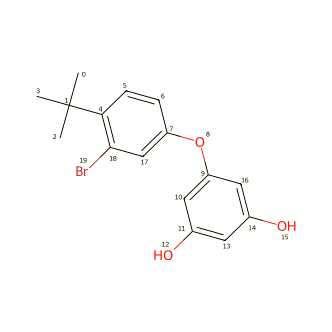 CC(C)(C)c1ccc(Oc2cc(O)cc(O)c2)cc1Br